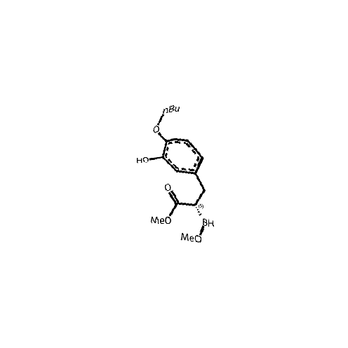 CCCCOc1ccc(C[C@H](BOC)C(=O)OC)cc1O